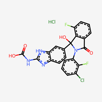 Cl.O=C(O)Nc1nc2ccc(C3(O)c4c(F)cccc4C(=O)N3c3cccc(Cl)c3F)cc2[nH]1